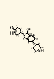 O=C1CCC(N2Cc3cc(N4CCNCC4)ccc3C2=O)CN1